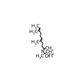 C/C=C(\C)CC/C=C(\C)CC/C(C)=N/C(C)(C)OCC